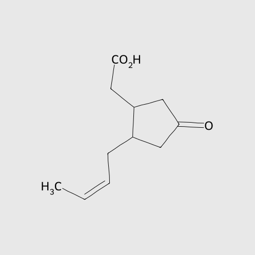 C/C=C\CC1CC(=O)CC1CC(=O)O